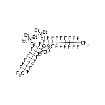 CC[N+](CC)(CC)CC.CC[N+](CC)(CC)CC.O=S(=O)(OS(=O)(=O)C(F)(F)C(F)(F)C(F)(F)C(F)(F)C(F)(F)C(F)(F)C(F)(F)C(F)(F)C(F)(F)F)C(F)(F)C(F)(F)C(F)(F)C(F)(F)C(F)(F)C(F)(F)C(F)(F)C(F)(F)F